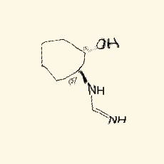 N=CN[C@H]1CCCC[C@@H]1O